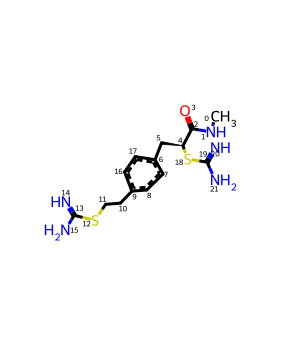 CNC(=O)[C@H](Cc1ccc(CCSC(=N)N)cc1)SC(=N)N